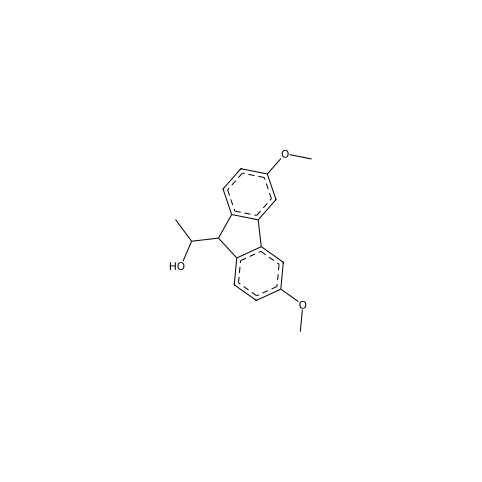 COc1ccc2c(c1)-c1cc(OC)ccc1C2C(C)O